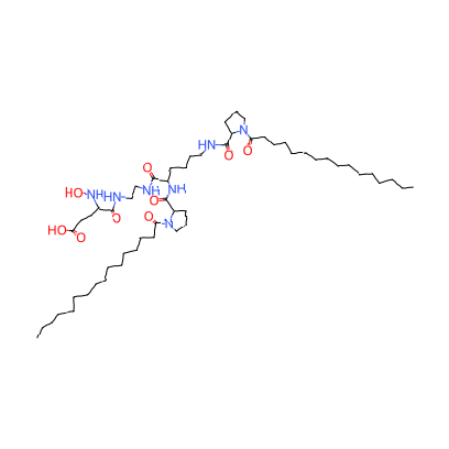 CCCCCCCCCCCCCCCC(=O)N1CCCC1C(=O)NCCCCC(NC(=O)C1CCCN1C(=O)CCCCCCCCCCCCCCC)C(=O)NCCNC(=O)C(CCC(=O)O)NO